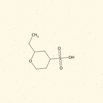 CCC1CC(S(=O)(=O)O)CCO1